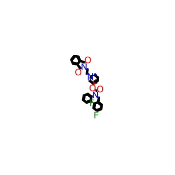 O=C1c2ccccc2C(=O)N1CC[N+]12CCC(CC1)C(OC(=O)N(Cc1ccc(F)cc1)c1ccccc1F)C2